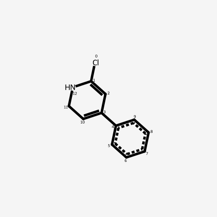 ClC1=CC(c2ccccc2)=CCN1